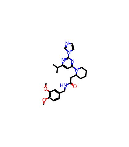 COc1ccc(CNC(=O)CC2CCCCN2c2cc(C(C)C)nc(-n3ccnc3)n2)cc1OC